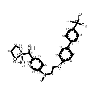 CN(CCOc1ccc(-c2ccc(C(F)(F)F)cc2)cc1)c1ccc(C(O)[P]2(O)OCCO2)nc1